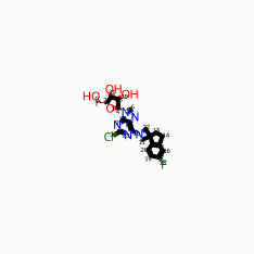 OC[C@H]1O[C@@H](n2cnc3c(N4CC5(CCc6cc(F)ccc65)C4)nc(Cl)nc32)C(O)C1O